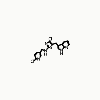 Clc1ccc(CNc2nc(Cl)c(Cc3c[nH]c4ncccc34)s2)cn1